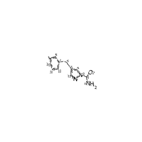 NC(=O)n1cc(Cc2ccccc2)cn1